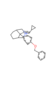 COC1(c2ccc(OCc3ccccc3)cc2)C2CCCC1CN(CC1CC1)C2